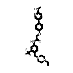 CCN1CCN(Cc2ccc(NC(=O)COc3ccc(-c4ccc(NC)nc4)cc3)cc2C(F)(F)F)CC1